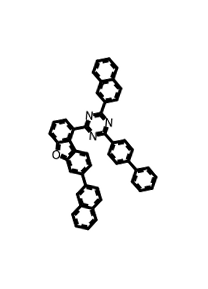 c1ccc(-c2ccc(-c3nc(-c4ccc5ccccc5c4)nc(-c4cccc5oc6cc(-c7ccc8ccccc8c7)ccc6c45)n3)cc2)cc1